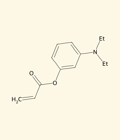 C=CC(=O)Oc1cccc(N(CC)CC)c1